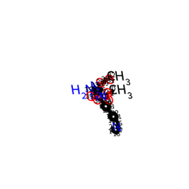 CCOC(=O)N(Cc1ccc(-c2ccc(CN3CCCC3)cc2)cc1)c1cc(OCCOC)nc(N)c1[N+](=O)[O-]